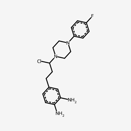 Nc1ccc(CCC(Cl)N2CCN(c3ccc(F)cc3)CC2)cc1N